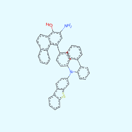 Nc1cc(-c2ccc(N(c3ccc4c(c3)sc3ccccc34)c3ccccc3-c3ccccc3)cc2)c2c(ccc3ccccc32)c1O